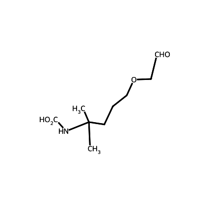 CC(C)(CCCOCC=O)NC(=O)O